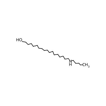 CCCCCNCCCCCCCCCCCCCCCCCCO